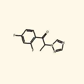 CC(C(=O)c1ccc(F)cc1F)n1cncn1